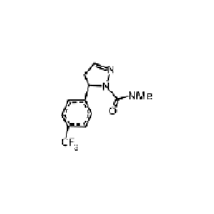 CNC(=O)N1N=CCC1c1ccc(C(F)(F)F)cc1